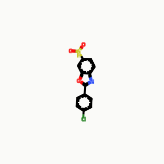 O=[SH](=O)c1ccc2nc(-c3ccc(Cl)cc3)oc2c1